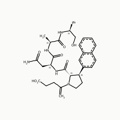 C=C(CCC(=O)O)N1CC[C@H](c2ccc3ccccc3c2)[C@H]1C(=O)N[C@@H](CC(N)=O)C(=O)N[C@@H](C)C(=O)N[C@H](CO)C(C)C